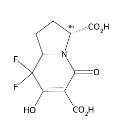 O=C(O)C1=C(O)C(F)(F)C2CC[C@H](C(=O)O)N2C1=O